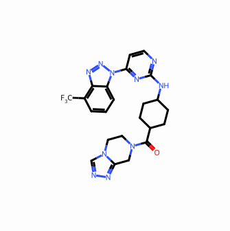 O=C(C1CCC(Nc2nccc(-n3nnc4c(C(F)(F)F)cccc43)n2)CC1)N1CCn2cnnc2C1